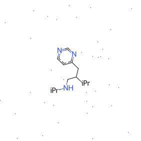 CC(C)NCC(Cc1ccncn1)C(C)C